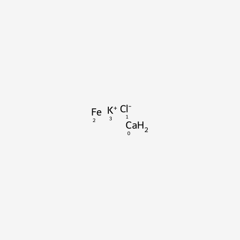 [CaH2].[Cl-].[Fe].[K+]